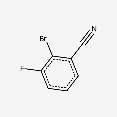 N#Cc1cccc(F)c1Br